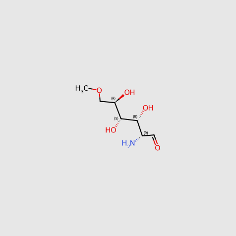 COC[C@@H](O)[C@@H](O)[C@H](O)[C@@H](N)C=O